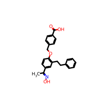 CC(=NO)c1ccc(OCc2ccc(C(=O)O)cc2)c(CCc2ccccc2)c1